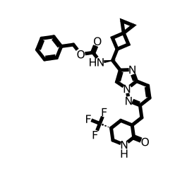 O=C(N[C@H](c1cn2nc(CC3C[C@@H](C(F)(F)F)CNC3=O)ccc2n1)C1CC2(CC2)C1)OCc1ccccc1